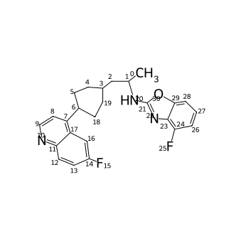 CC(CC1CCC(c2ccnc3ccc(F)cc23)CC1)Nc1nc2c(F)cccc2o1